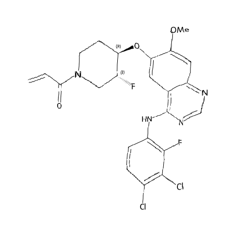 C=CC(=O)N1CC[C@@H](Oc2cc3c(Nc4ccc(Cl)c(Cl)c4F)ncnc3cc2OC)[C@H](F)C1